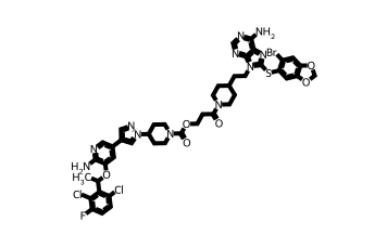 CC(Oc1cc(-c2cnn(C3CCN(C(=O)OCCC(=O)N4CCC(CCn5c(Sc6cc7c(cc6Br)OCO7)nc6c(N)ncnc65)CC4)CC3)c2)cnc1N)c1c(Cl)ccc(F)c1Cl